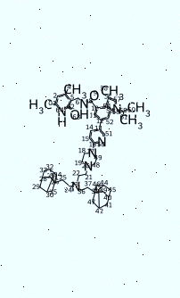 Cc1cc(C)c(CNC(=O)c2cc(-c3ccc(N4CCN(CCN(CCC56CC7CC(CC(C7)C5)C6)CCC56CC7CC(CC(C7)C5)C6)CC4)nc3)cc3c2c(C)cn3C(C)C)c(=O)[nH]1